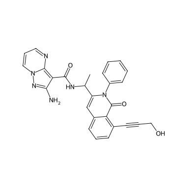 CC(NC(=O)c1c(N)nn2cccnc12)c1cc2cccc(C#CCO)c2c(=O)n1-c1ccccc1